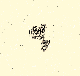 CC(C)(C)N(C(=O)O)[C@@H](CCCCNS(=O)(=O)c1ccccc1)C(=O)N(Cc1cccs1)Cc1cccs1